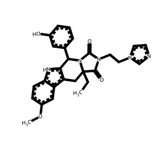 CCC12Cc3c([nH]c4ccc(OC)cc34)C(c3cccc(O)c3)N1C(=O)N(CCn1ccnc1)C2=O